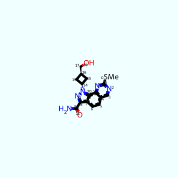 CSc1ncc2ccc3c(C(N)=O)nn([C@H]4C[C@H](CO)C4)c3c2n1